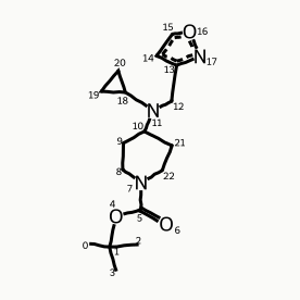 CC(C)(C)OC(=O)N1CCC(N(Cc2ccon2)C2CC2)CC1